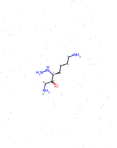 NCCCC[C@H](NN)C(=O)CN